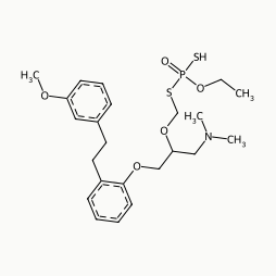 CCOP(=O)(S)SCOC(COc1ccccc1CCc1cccc(OC)c1)CN(C)C